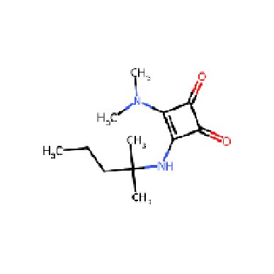 CCCC(C)(C)Nc1c(N(C)C)c(=O)c1=O